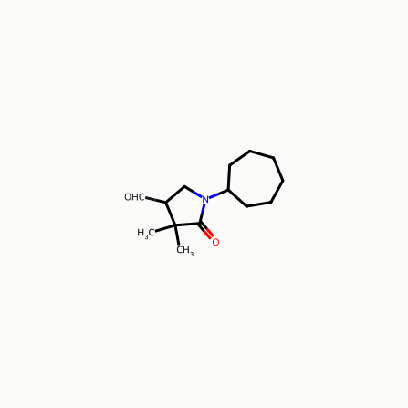 CC1(C)C(=O)N(C2CCCCCC2)CC1C=O